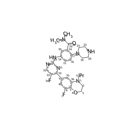 CC(C)N1CCOc2c(F)cc(-c3nc(Nc4ccc(N5CCNCC5)c(C(=O)N(C)C)c4)ncc3F)cc21